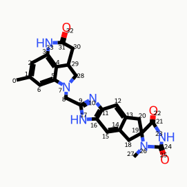 Cc1cc2c3c(c1)N(Cc1nc4cc5c(cc4[nH]1)CC1(C5)C(=O)NC(=O)N1C)CC3CC(=O)N2